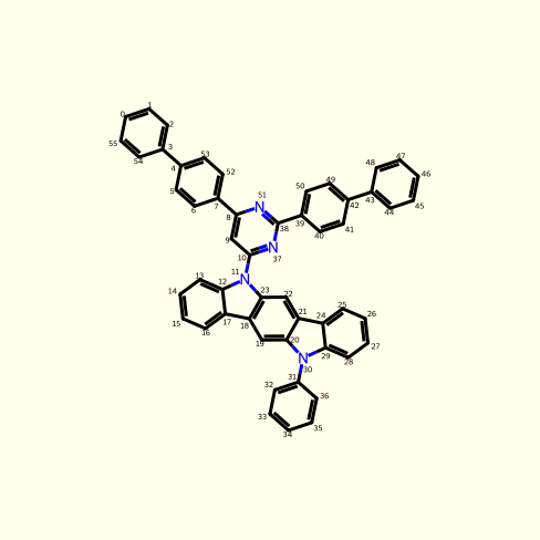 c1ccc(-c2ccc(-c3cc(-n4c5ccccc5c5cc6c(cc54)c4ccccc4n6-c4ccccc4)nc(-c4ccc(-c5ccccc5)cc4)n3)cc2)cc1